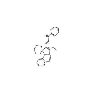 CC[N+]1=C(C=CNc2ccccc2)C2(CCCCC2)c2c1ccc1ccccc21